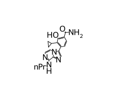 CCCNc1nccn2c(-c3ccc(C(N)=O)c(O)c3C3CC3)cnc12